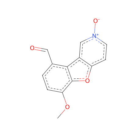 COc1ccc(C=O)c2c1oc1cc[n+]([O-])cc12